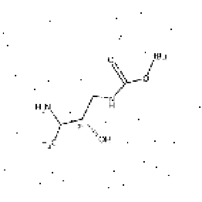 CC(N)[C@@H](O)CNC(=O)OC(C)(C)C